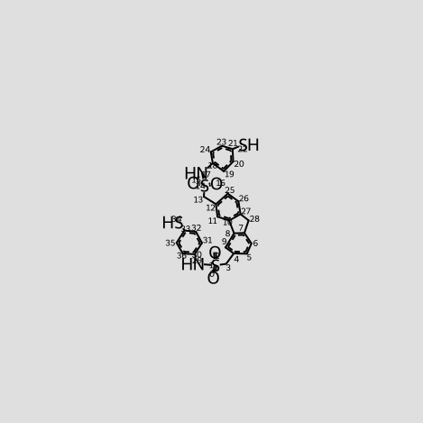 O=S(=O)(Cc1ccc2c(c1)-c1cc(CS(=O)(=O)Nc3ccc(S)cc3)ccc1C2)Nc1ccc(S)cc1